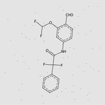 O=Cc1ccc(NC(=O)C(F)(F)c2ccccc2)cc1OC(F)F